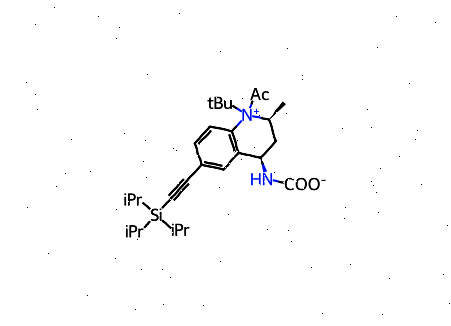 CC(=O)[N+]1(C(C)(C)C)c2ccc(C#C[Si](C(C)C)(C(C)C)C(C)C)cc2[C@H](NC(=O)[O-])C[C@@H]1C